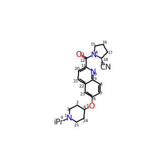 CC(C)N1CCC(Oc2ccc3nc(C(=O)N4CCC[C@H]4C#N)ccc3c2)CC1